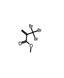 C=C(C(=O)OC)C(Br)(Br)Br